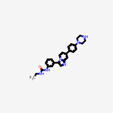 O=C(NCC(F)(F)F)Nc1cccc(-c2cnc3cc(-c4ccc(N5CCNCC5)cc4)ccn23)c1